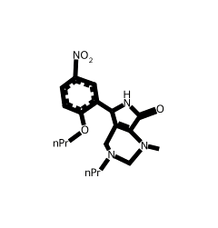 CCCOc1ccc([N+](=O)[O-])cc1C1NC(=O)C2=C1CN(CCC)CN2C